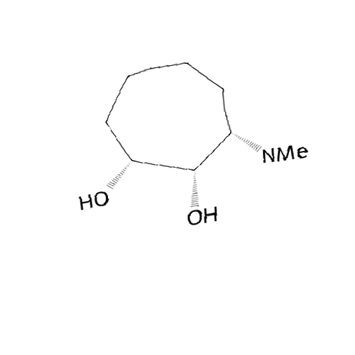 CN[C@H]1CCCC[C@@H](O)[C@H]1O